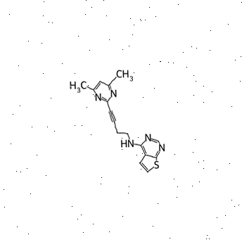 Cc1cc(C)nc(C#CCCNc2ncnc3sccc23)n1